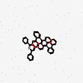 c1ccc(-c2cc(-c3ccc4c(-c5ccccc5-c5ccccc5)c5ccccc5c(-c5ccccc5-c5ccccc5)c4c3)cc(-c3ccccc3)n2)cc1